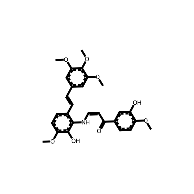 COc1ccc(C(=O)/C=C\Nc2c(/C=C/c3cc(OC)c(OC)c(OC)c3)ccc(OC)c2O)cc1O